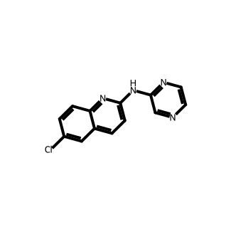 Clc1ccc2nc(Nc3cnccn3)ccc2c1